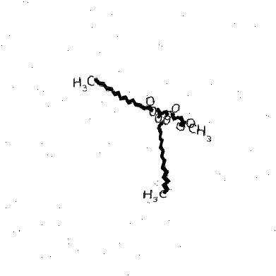 CCCCCCCCCCCCCCCC(=O)OCC(COC(=O)CCC(=O)OC)OC(=O)CCCCCCCCCCCCCCC